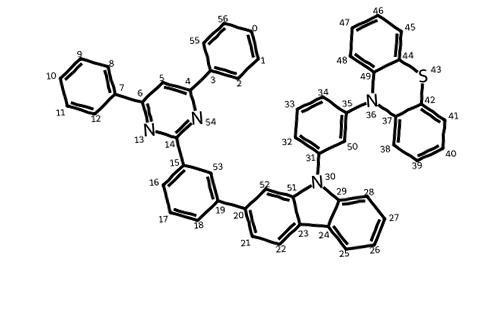 c1ccc(-c2cc(-c3ccccc3)nc(-c3cccc(-c4ccc5c6ccccc6n(-c6cccc(N7c8ccccc8Sc8ccccc87)c6)c5c4)c3)n2)cc1